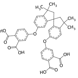 CC1(C)CC2(CC(C)(C)c3ccc(Oc4ccc(C(=O)O)c(C(=O)O)c4)cc32)c2cc(Oc3ccc(C(=O)O)c(C(=O)O)c3)ccc21